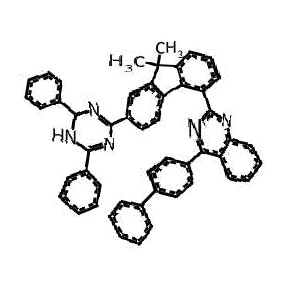 CC1(C)c2cc(C3=NC(c4ccccc4)NC(c4ccccc4)=N3)ccc2-c2c(-c3nc(-c4ccc(-c5ccccc5)cc4)c4ccccc4n3)cccc21